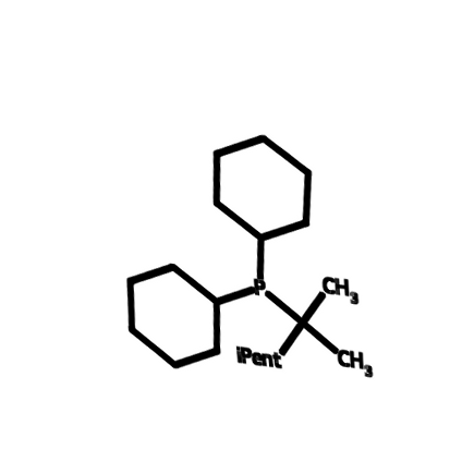 CCCC(C)C(C)(C)P(C1CCCCC1)C1CCCCC1